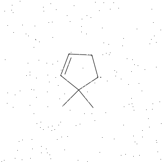 CC1(C)[CH]CC=C1